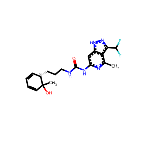 Cc1nc(NC(=O)NCCC[C@H]2C=CC=CC2(C)O)cc2[nH]nc(C(F)F)c12